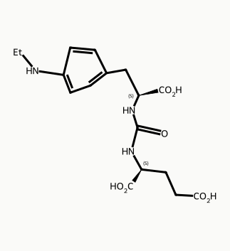 CCNc1ccc(C[C@H](NC(=O)N[C@@H](CCC(=O)O)C(=O)O)C(=O)O)cc1